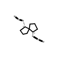 [N-]=[N+]=N[C@H]1CCCC12CCC[C@@H]2N=[N+]=[N-]